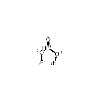 O=[PH](OF)OF